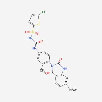 CNc1ccc2c(=O)n(-c3ccc(NC(=O)NS(=O)(=O)c4ccc(Cl)s4)cc3C(F)(F)F)c(=O)[nH]c2c1